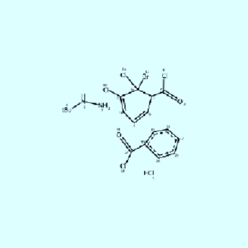 CC(C)(C)NN.Cl.O=C(Cl)C1C=CC=C(Cl)C1(Cl)Br.O=C(Cl)c1ccccc1